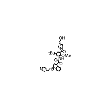 COc1c(NC(=O)C(=O)c2ccc(OCCN3CCOCC3)c3ccccc23)cc(C(C)(C)C)cc1C(=O)N1CCN(CCO)CC1